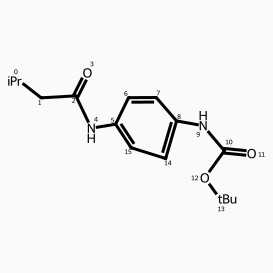 CC(C)CC(=O)Nc1ccc(NC(=O)OC(C)(C)C)cc1